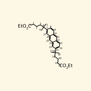 CCOC(=O)CCCC(C)(C)c1ccc2cc3ccc(C(C)(C)CCCC(=O)OCC)cc3cc2c1